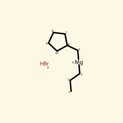 Br.CC[CH2][Mg][CH2]C1CCCC1